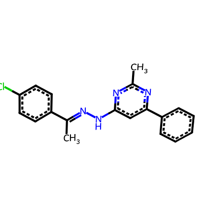 C/C(=N\Nc1cc(-c2ccccc2)nc(C)n1)c1ccc(Cl)cc1